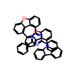 C1=CC2Oc3c(-c4cccc5oc6cccc(-c7nc(-c8ccccc8)nc(-c8ccccc8)n7)c6c45)cccc3C2C(n2c3ccccc3c3ccccc32)=C1